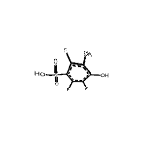 O=S(=O)(O)c1c(F)c(O)c(O)c(F)c1F